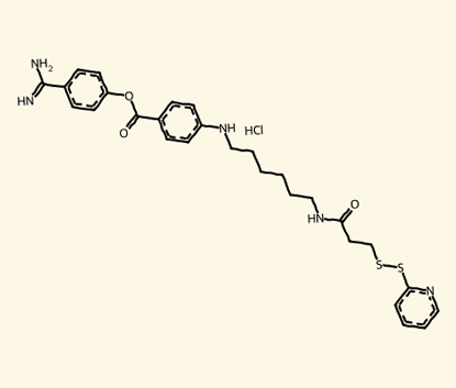 Cl.N=C(N)c1ccc(OC(=O)c2ccc(NCCCCCCNC(=O)CCSSc3ccccn3)cc2)cc1